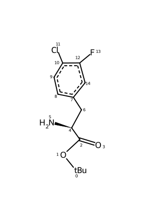 CC(C)(C)OC(=O)[C@@H](N)Cc1ccc(Cl)c(F)c1